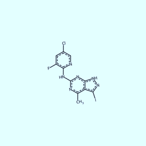 Cc1nc(Nc2ncc(Cl)cc2F)nc2[nH]nc(I)c12